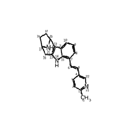 Cc1ccc(/C=C/c2cccc3c4c([nH]c23)CC2CCC4N2)cn1